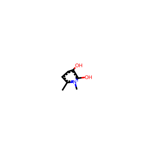 Cc1ccc(O)c(O)[n+]1C